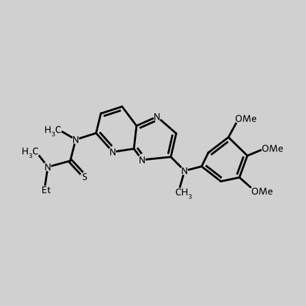 CCN(C)C(=S)N(C)c1ccc2ncc(N(C)c3cc(OC)c(OC)c(OC)c3)nc2n1